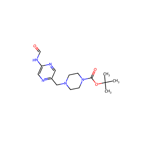 CC(C)(C)OC(=O)N1CCN(Cc2cnc(NC=O)cn2)CC1